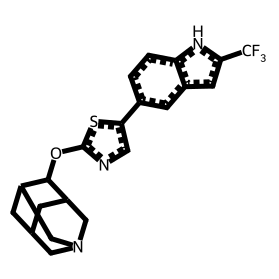 FC(F)(F)c1cc2cc(-c3cnc(OC4C5CC6CC4CN(C6)C5)s3)ccc2[nH]1